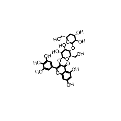 O=c1c(O[C@@H]2O[C@H](CO)[C@@H](O[C@@H]3O[C@H](CO)C[C@H](O)[C@H]3O)[C@H](O)[C@H]2O)c(-c2cc(O)c(O)c(O)c2)oc2cc(O)cc(O)c12